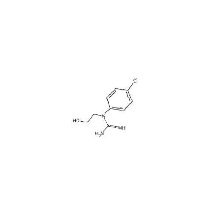 N=C(N)N(CCO)c1ccc(Cl)cc1